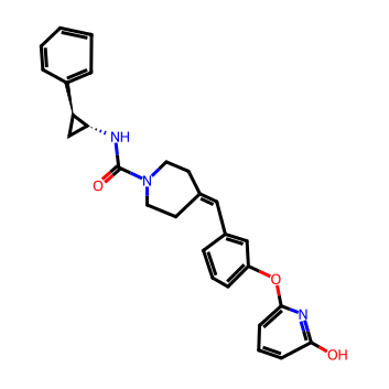 O=C(N[C@@H]1C[C@H]1c1ccccc1)N1CCC(=Cc2cccc(Oc3cccc(O)n3)c2)CC1